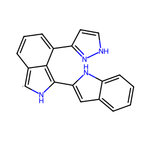 [c]1[nH]c(-c2cc3ccccc3[nH]2)c2c(-c3cc[nH]n3)cccc12